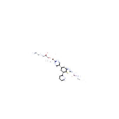 CCNC(=O)Nc1nc2cc(-c3cnc(C(C)(C)OCC(=O)CNCCN)nc3)cc(-c3ccccn3)c2s1